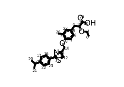 CCOC(Cc1ccc(OCc2csc(-c3ccc(C(C)C)cc3)n2)c(C)c1)C(=O)O